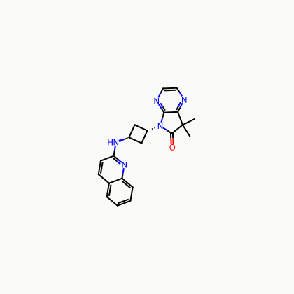 CC1(C)C(=O)N([C@H]2C[C@H](Nc3ccc4ccccc4n3)C2)c2nccnc21